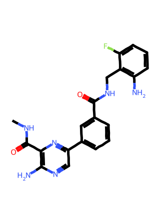 CNC(=O)c1nc(-c2cccc(C(=O)NCc3c(N)cccc3F)c2)cnc1N